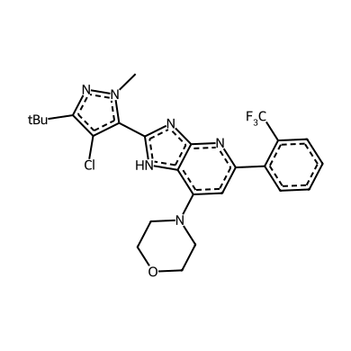 Cn1nc(C(C)(C)C)c(Cl)c1-c1nc2nc(-c3ccccc3C(F)(F)F)cc(N3CCOCC3)c2[nH]1